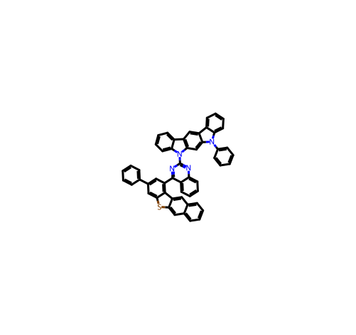 c1ccc(-c2cc(-c3nc(-n4c5ccccc5c5cc6c7ccccc7n(-c7ccccc7)c6cc54)nc4ccccc34)c3c(c2)sc2cc4ccccc4cc23)cc1